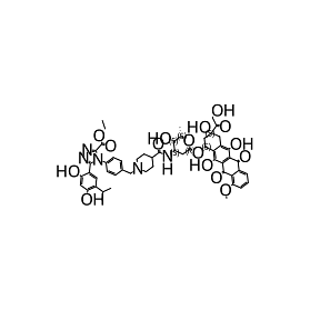 CCOC(=O)c1nnc(-c2cc(C(C)C)c(O)cc2O)n1-c1ccc(CN2CCC(C(=O)N[C@H]3C[C@H](O[C@H]4C[C@](O)(C(=O)CO)Cc5c(O)c6c(c(O)c54)C(=O)c4c(OC)cccc4C6=O)O[C@@H](C)[C@H]3O)CC2)cc1